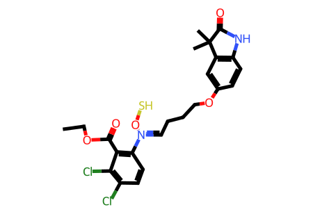 CCOC(=O)c1c([N+](=CCCCOc2ccc3c(c2)C(C)(C)C(=O)N3)OS)ccc(Cl)c1Cl